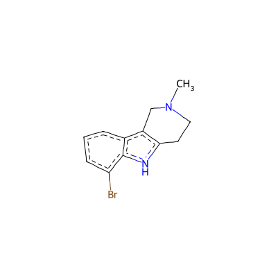 CN1CCc2[nH]c3c(Br)cccc3c2C1